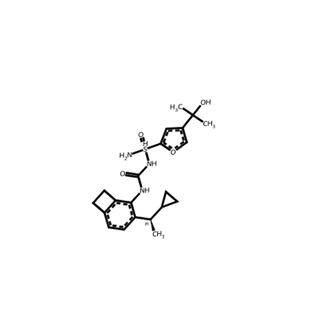 C[C@@H](c1ccc2c(c1NC(=O)N[SH](N)(=O)c1cc(C(C)(C)O)co1)CC2)C1CC1